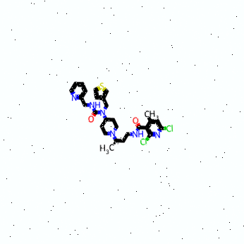 Cc1cc(Cl)nc(Cl)c1C(=O)NCC[C@@H](C)N1CCC(N(Cc2ccsc2)C(=O)NCc2ccccn2)CC1